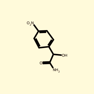 NC(=O)C(O)c1ccc([N+](=O)[O-])cc1